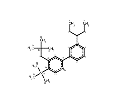 CCC(CC)c1cccc(-c2cc(CC(C)(C)C)c(S(C)(C)C)cn2)c1